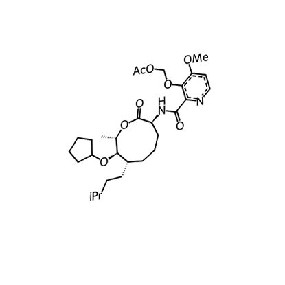 COc1ccnc(C(=O)N[C@H]2CCC[C@H](CCC(C)C)[C@@H](OC3CCCC3)[C@H](C)OC2=O)c1OCOC(C)=O